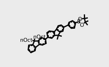 CCCCCCCCC1(CCCCCCCC)c2ccccc2-c2ccc(-c3ccc4c(c3)C(C)(C)c3cc(-c5ccc(B6OC(C)(C)C(C)(C)O6)cc5)ccc3-4)cc21